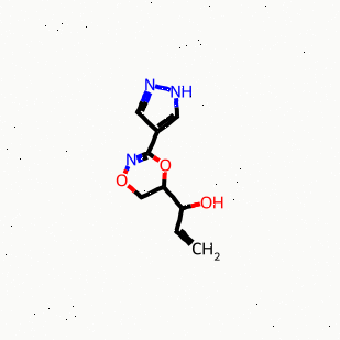 C=CC(O)C1CON=C(c2cn[nH]c2)O1